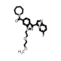 COCCOCCn1nc(-c2cnc3ccc(F)cn23)c2ccc(C(=O)N3CCCCCC3)cc21